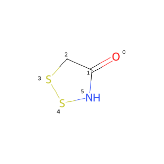 O=C1CSSN1